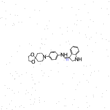 C(/Nc1ccc(N2CCC3(CC2)OCCO3)cc1)=C1\CNc2ccccc21